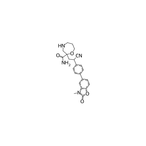 Cn1c(=O)oc2ccc(-c3ccc(C(C#N)CC4(C(N)=O)CNCCCO4)cc3)cc21